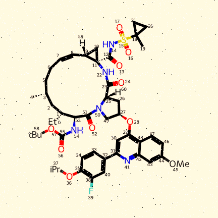 CC[C@@H]1C[C@H](C)CC/C=C\[C@@H]2C[C@@]2(C(=O)NS(=O)(=O)C2(C)CC2)NC(=O)[C@@H]2C[C@@H](Oc3cc(-c4ccc(OC(C)C)c(F)c4)nc4cc(OC)ccc34)CN2C(=O)[C@H]1NC(=O)OC(C)(C)C